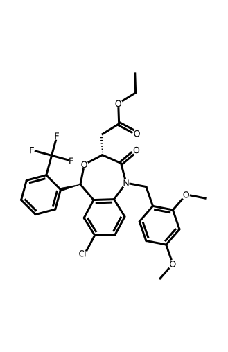 CCOC(=O)C[C@H]1O[C@H](c2ccccc2C(F)(F)F)c2cc(Cl)ccc2N(Cc2ccc(OC)cc2OC)C1=O